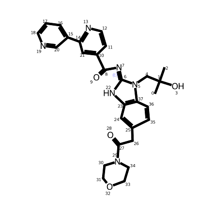 CC(C)(O)Cn1/c(=N/C(=O)c2ccnc(-c3cccnc3)c2)[nH]c2cc(CC(=O)N3CCOCC3)ccc21